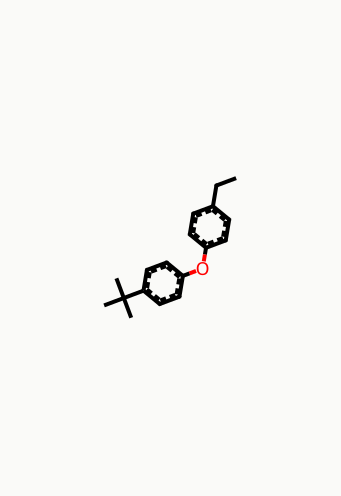 CCc1ccc(Oc2ccc(C(C)(C)C)cc2)cc1